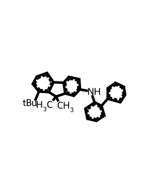 CC(C)(C)c1cccc2c1C(C)(C)c1cc(Nc3ccccc3-c3ccccc3)ccc1-2